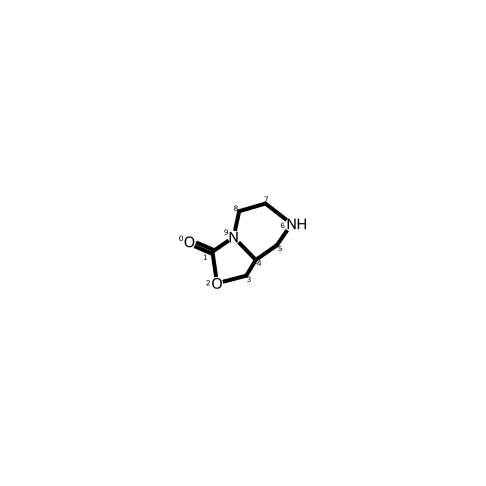 O=C1OC[C]2CNCCN21